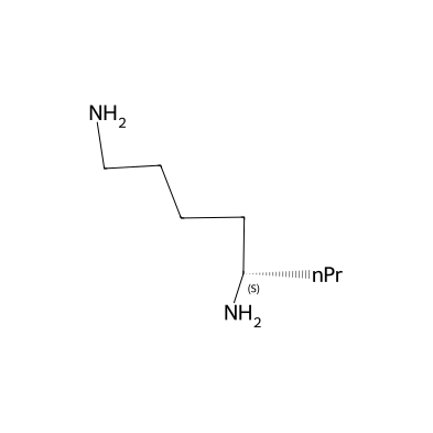 CCC[C@H](N)CCCCN